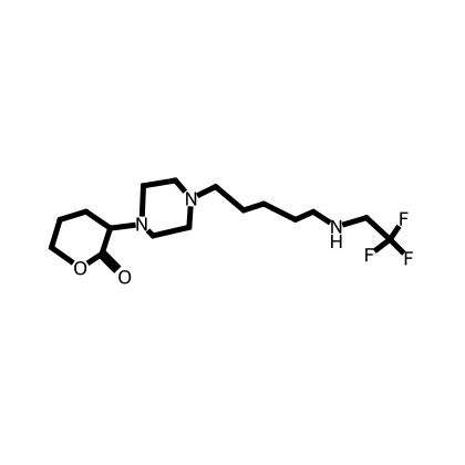 O=C1OCCCC1N1CCN(CCCCCNCC(F)(F)F)CC1